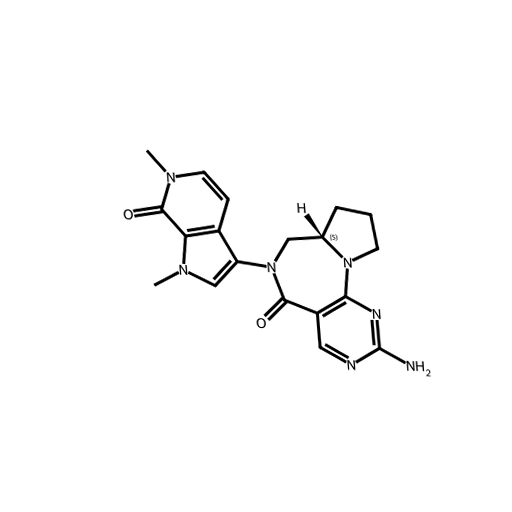 Cn1ccc2c(N3C[C@@H]4CCCN4c4nc(N)ncc4C3=O)cn(C)c2c1=O